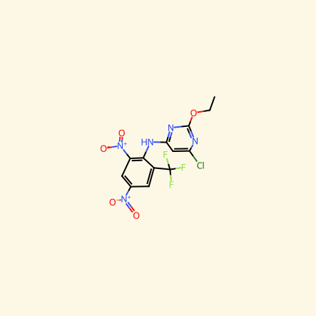 CCOc1nc(Cl)cc(Nc2c([N+](=O)[O-])cc([N+](=O)[O-])cc2C(F)(F)F)n1